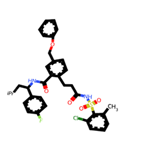 Cc1cccc(Cl)c1S(=O)(=O)NC(=O)CCc1ccc(COc2ccccc2)cc1C(=O)NC(CC(C)C)c1ccc(F)cc1